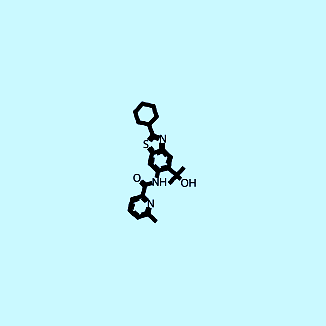 Cc1cccc(C(=O)Nc2cc3sc(C4CCCCC4)nc3cc2C(C)(C)O)n1